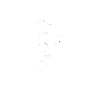 C[C@H](N)c1ccc(C(=O)N2C[C@@H](c3ccccc3)C[C@H]2CN[C@@H]2CCCc3ccccc32)o1